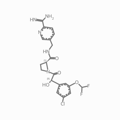 N=C(N)c1ccc(CNC(=O)[C@@H]2CCN2C(=O)[C@H](O)c2cc(Cl)cc(OC(F)F)c2)cn1